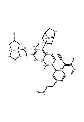 C#Cc1c(F)ccc2cc(OCOC)cc(-c3ccc4c(N5CC6CCC(C5)N6CCO)nc(OC[C@@]56CCCN5C[C@H](F)C6)nc4c3F)c12